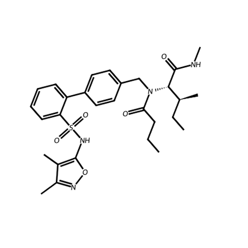 CCCC(=O)N(Cc1ccc(-c2ccccc2S(=O)(=O)Nc2onc(C)c2C)cc1)[C@H](C(=O)NC)[C@@H](C)CC